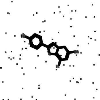 CCC1=C2OC(c3ccc(O)cc3)=CC2CC(O)=C1